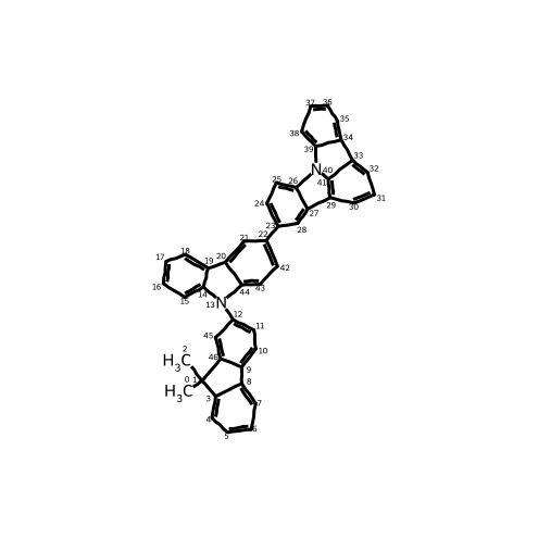 CC1(C)c2ccccc2-c2ccc(-n3c4ccccc4c4cc(-c5ccc6c(c5)c5cccc7c8ccccc8n6c75)ccc43)cc21